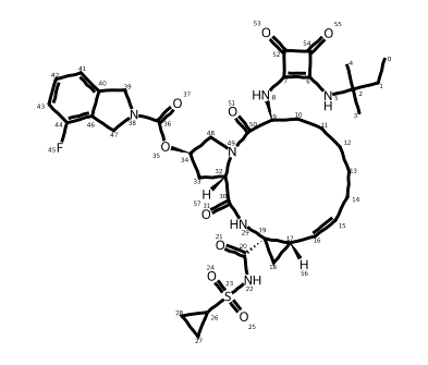 CCC(C)(C)Nc1c(N[C@H]2CCCCC/C=C\[C@@H]3C[C@@]3(C(=O)NS(=O)(=O)C3CC3)NC(=O)[C@@H]3C[C@@H](OC(=O)N4Cc5cccc(F)c5C4)CN3C2=O)c(=O)c1=O